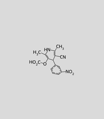 CC1=C(C#N)C(c2cccc([N+](=O)[O-])c2)C(OC(=O)O)=C(C)N1